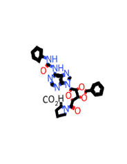 O=C(Nc1ccccc1)Nc1ncnc2c1ncn2C1OC(C(=O)N2CCCC2C(=O)O)C2OC(c3ccccc3)OC21